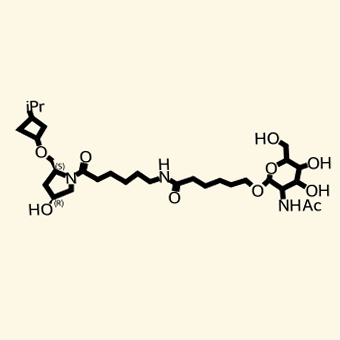 CC(=O)NC1C(OCCCCCC(=O)NCCCCCC(=O)N2C[C@H](O)C[C@H]2COC2CC(C(C)C)C2)OC(CO)C(O)C1O